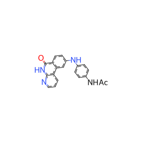 CC(=O)Nc1ccc(Nc2ccc3c(=O)[nH]c4ncccc4c3c2)cc1